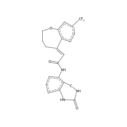 O=C(/C=C1\CCCOc2cc(C(F)(F)F)ccc21)Nc1cccc2c1CNC(=O)N2